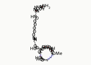 CO[C@H]1C[C@@H]2CC[C@@H](C)[C@@](O)(O2)C(=O)C(=O)N2CCCC[C@H]2C(=O)O[C@H]([C@H](C)C[C@@H]2CC[C@@H](OCCCCc3cn(CCOCCOCCOCCOCCOCCC(=O)NCCCCn4nc(-c5ccc6oc(N)nc6c5)c5c(N)ncnc54)nn3)[C@H](O)C2)CC(=O)[C@H](C)/C=C(\C)[C@@H](O)[C@@H](O)C(=O)[C@H](C)C[C@H](C)/C=C/C=C/C=C/1C